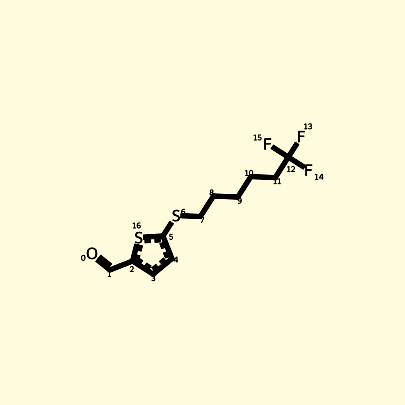 O=Cc1ccc(SCCCCCC(F)(F)F)s1